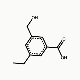 CCc1cc(CO)cc(C(=O)O)c1